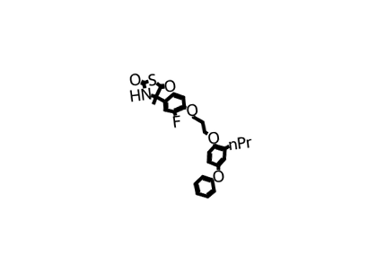 CCCc1cc(Oc2ccccc2)ccc1OCCCOc1ccc(C2(C)NC(=O)SC2=O)cc1F